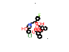 O=C(CCCN1CCC(O)(c2ccc(Cl)cc2)CC1)c1ccc(F)cc1.O=C(O)c1cc2ccccc2c(Cc2c(O)c(C(=O)O)cc3ccccc23)c1O